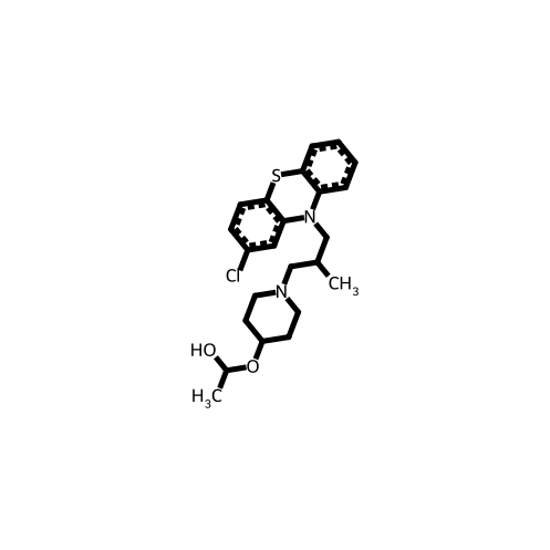 CC(CN1CCC(OC(C)O)CC1)CN1c2ccccc2Sc2ccc(Cl)cc21